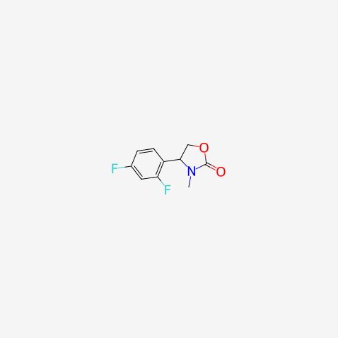 CN1C(=O)OCC1c1ccc(F)cc1F